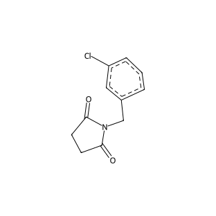 O=C1CCC(=O)N1Cc1cccc(Cl)c1